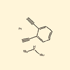 C#Cc1ccccc1C#C.CC(C)(C)PC(C)(C)C.[Pt]